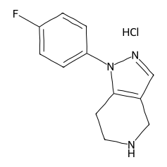 Cl.Fc1ccc(-n2ncc3c2CCNC3)cc1